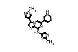 Cc1ncc(NC2=NC(C3=CCCNC3)=CN3C2=NCC3c2cnn(C)c2)s1